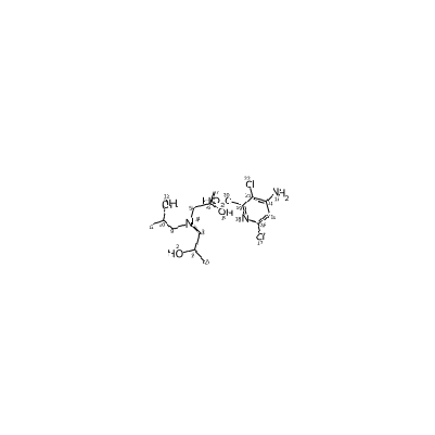 CC(O)CN(CC(C)O)CC(C)O.Nc1cc(Cl)nc(C(=O)O)c1Cl